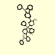 C=C1CC=C([Si](c2ccccc2)(c2ccccc2)c2cccc(-c3ccccc3Nc3ccccc3)c2C)C=C1c1ccc2c(c1)c1ccccc1n2-c1ccccc1